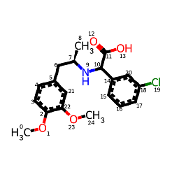 COc1ccc(C[C@@H](C)NC(C(=O)O)c2cccc(Cl)c2)cc1OC